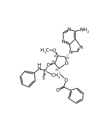 CO[C@@H]1[C@H](OP(C)(=S)Nc2ccccc2)[C@@H](COC(=O)c2ccccc2)O[C@H]1n1cnc2c(N)ncnc21